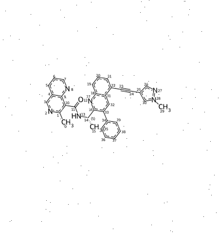 Cc1ncc2cccnc2c1C(=O)N[C@@H](C)c1nc2cccc(C#Cc3cnn(C)c3)c2cc1-c1ccccc1